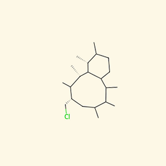 CC1C[C@H](CCl)C(C)[C@H](C)C2C(CCC(C)[C@H]2C)C(C)C1C